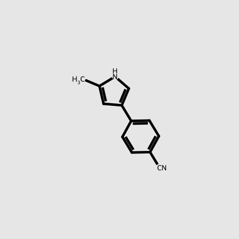 Cc1cc(-c2ccc(C#N)cc2)c[nH]1